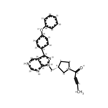 CC#CC(=O)N1CC[C@@H](Cn2nc(-c3ccc(Oc4ccccc4)cc3)c3cncnc32)C1